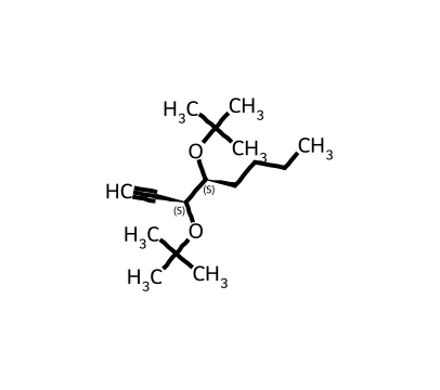 C#C[C@H](OC(C)(C)C)[C@H](CCCC)OC(C)(C)C